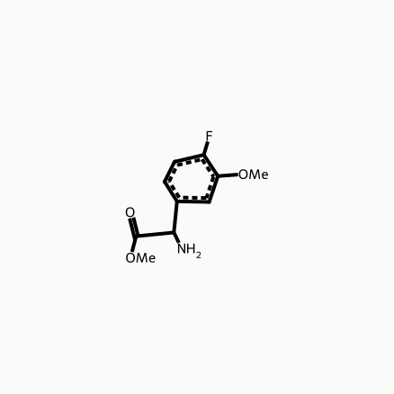 COC(=O)C(N)c1ccc(F)c(OC)c1